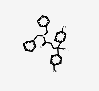 CC(CCC(=O)N(Cc1ccccc1)Cc1ccccc1)(c1ccc(O)cc1)c1ccc(O)cc1